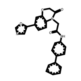 O=C(CN1C(=O)COc2cc(-c3cnco3)ccc21)Nc1ccc(-c2ccccc2)cc1